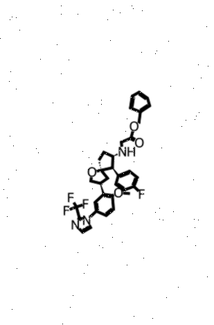 COc1ccc(-n2ccnc2C(F)(F)F)cc1[C@H]1CO[C@]2(CC[C@H](NCC(=O)OCc3ccccc3)[C@H]2c2ccc(F)cc2)C1